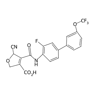 N#CC1OCC(C(=O)O)=C1C(=O)Nc1ccc(-c2cccc(OC(F)(F)F)c2)cc1F